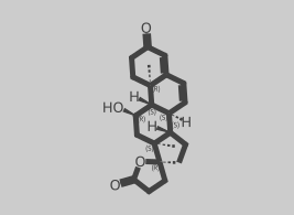 C[C@]12CCC(=O)C=C1C=C[C@@H]1[C@@H]2[C@H](O)C[C@@]2(C)[C@H]1CC[C@@]21CCC(=O)O1